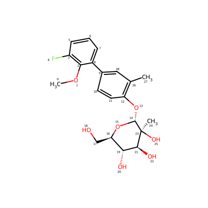 COc1c(F)cccc1-c1ccc(O[C@H]2O[C@H](CO)[C@@H](O)[C@H](O)[C@]2(C)O)c(C)c1